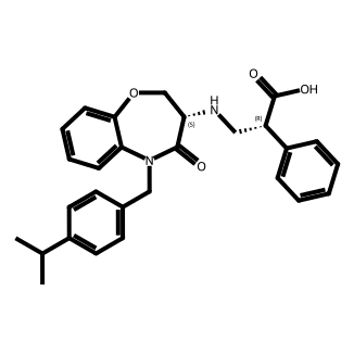 CC(C)c1ccc(CN2C(=O)[C@@H](NC[C@H](C(=O)O)c3ccccc3)COc3ccccc32)cc1